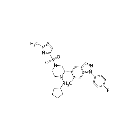 Cc1nc(S(=O)(=O)N2CCN(CC3CCCC3)[C@@H](c3cc4cnn(-c5ccc(F)cc5)c4cc3C)C2)cs1